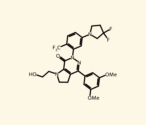 COc1cc(OC)cc(-c2nn(-c3cc(N4CCC(F)(F)C4)ccc3C(F)(F)F)c(=O)c3c2CCN3CCO)c1